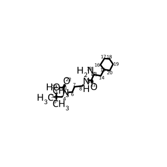 CC(C)(C)CN(CCCNC(=O)[C@@H](N)CC1CCCCC1)C(=O)O